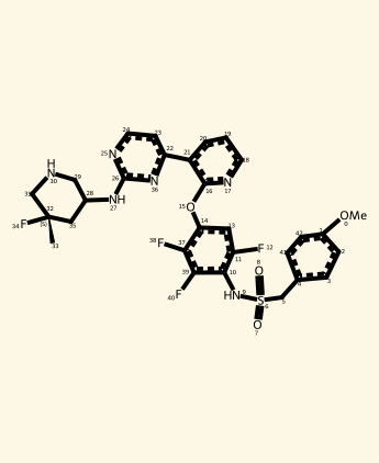 COc1ccc(CS(=O)(=O)Nc2c(F)cc(Oc3ncccc3-c3ccnc(NC4CNC[C@@](C)(F)C4)n3)c(F)c2F)cc1